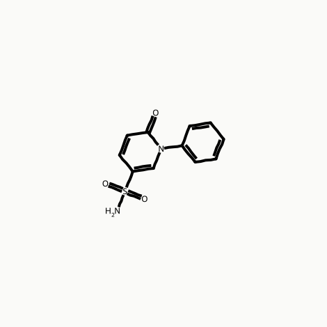 NS(=O)(=O)c1ccc(=O)n(-c2ccccc2)c1